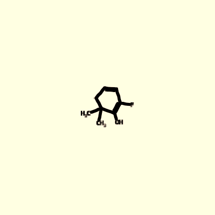 CC1(C)[CH]C=CC(F)=C1O